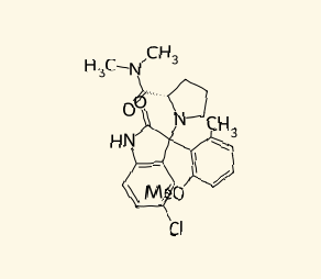 COc1cccc(C)c1C1(N2CCC[C@H]2C(=O)N(C)C)C(=O)Nc2ccc(Cl)cc21